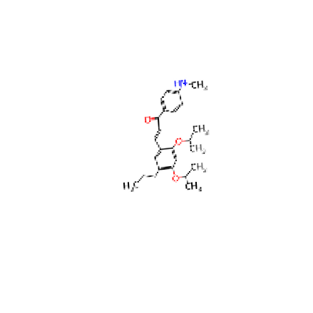 CCCc1cc(C=CC(=O)c2ccc(NC)cc2)c(OC(C)C)cc1OC(C)C